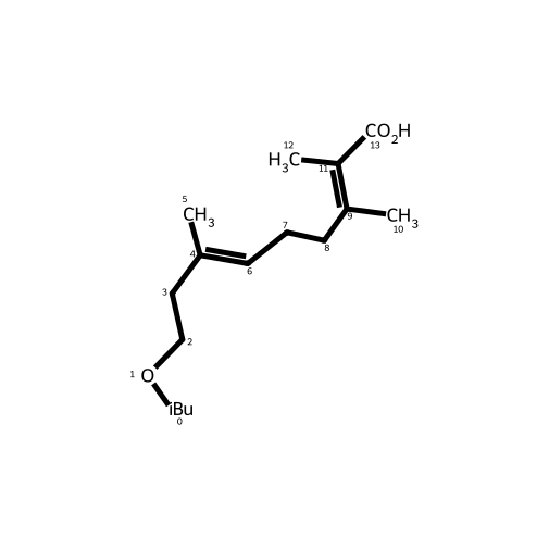 CCC(C)OCCC(C)=CCCC(C)=C(C)C(=O)O